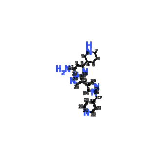 Nc1cc(C2CCCNC2)nc2c(-c3cnn(Cc4ccncc4)c3)cnn12